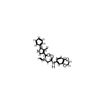 C=CN(CC(=O)Nc1ccc2c(c1)OCCO2)C(=O)c1cnn(-c2ccccc2)c1C